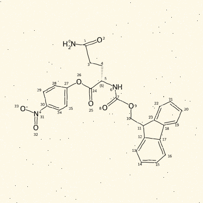 NC(=O)CC[C@H](NC(=O)OCC1c2ccccc2-c2ccccc21)C(=O)Oc1ccc([N+](=O)[O-])cc1